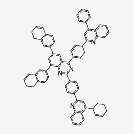 C1=CC(c2cc(-c3ccc(-c4nc(C5=CCC(c6cc(-c7ccccc7)c7ccccc7n6)C=C5)c5cc(-c6ccc7c(c6)CCC=C7)cc(-c6ccc7c(c6)C=CCC7)c5n4)cc3)nc3ccccc23)CCC1